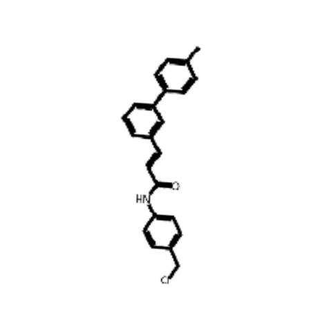 Cc1ccc(-c2cccc(C=CC(=O)Nc3ccc(CCl)cc3)c2)cc1